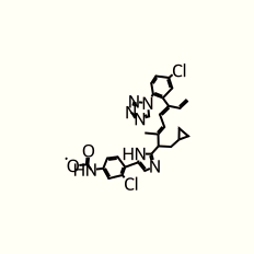 C=C/C(=C\C=C(/C)C(CC1CC1)c1ncc(-c2ccc(NC(=O)OC)cc2Cl)[nH]1)c1cc(Cl)ccc1-n1cnnn1